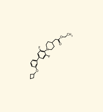 CCOC(=O)CC1CCN(c2c(F)cc(-c3cccc(OC4CCC4)c3)cc2F)CC1